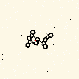 c1ccc(-n2c3ccccc3c3ccc4c5ccccc5n(-c5ccc(-c6nc7ccccc7c7cc8c(cc67)oc6ccccc68)cc5)c4c32)cc1